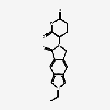 CCn1cc2cc3c(cc2c1)C(=O)N(C1CCC(=O)NC1=O)C3